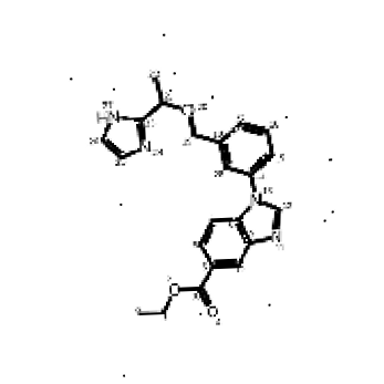 CCOC(=O)c1ccc2c(c1)ncn2-c1cccc(COC(C)c2ncc[nH]2)c1